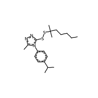 CCCCCC(C)(C)SSc1nnc(C)n1-c1ccc(C(C)C)cc1